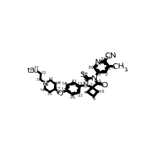 Cc1cc(N2C(=O)C3(CCC3)N(c3ccc(OC4CCN(CCC(C)(C)C)CC4)cc3)C2=S)cnc1C#N